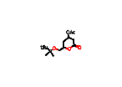 CC(=O)OC1CC(=O)OC(CO[Si](C)(C)C(C)(C)C)C1